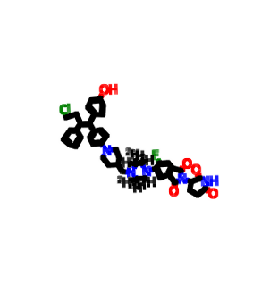 [2H]C1([2H])N(CC2CCN(c3ccc(C(=C(CCCl)c4ccccc4)c4ccc(O)cc4)cc3)CC2)C([2H])([2H])C([2H])([2H])N(c2cc3c(cc2F)C(=O)N(C2CCC(=O)NC2=O)C3=O)C1([2H])[2H]